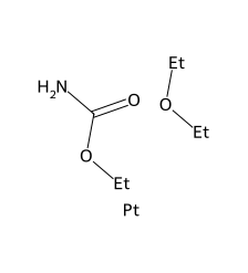 CCOC(N)=O.CCOCC.[Pt]